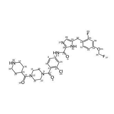 O=C(Nc1ccc(C(=O)N2CCN(C(=O)C3CCNCC3)CC2)c(Cl)c1)c1ncc(Cc2ccc(OCF)cc2F)[nH]1